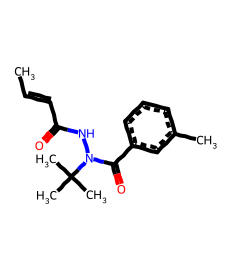 C/C=C/C(=O)NN(C(=O)c1cccc(C)c1)C(C)(C)C